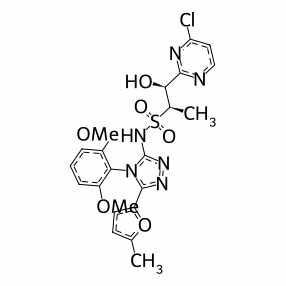 COc1cccc(OC)c1-n1c(NS(=O)(=O)[C@H](C)[C@@H](O)c2nccc(Cl)n2)nnc1-c1ccc(C)o1